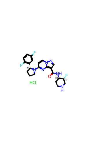 Cl.O=C(N[C@@H]1CCNC[C@@H]1F)c1cnn2ccc(N3CCC[C@@H]3c3cc(F)ccc3F)nc12